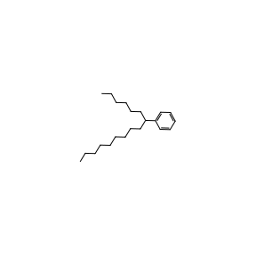 CCCCCCCCCC(CCCCCC)c1ccccc1